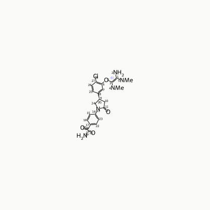 CN/C(N)=C(\NC)Oc1cc([C@H]2CC(=O)N(c3ccc(S(N)(=O)=O)cc3)C2)ccc1Cl